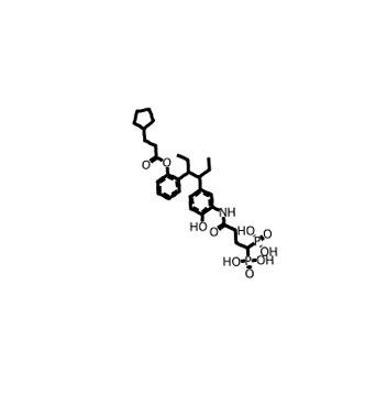 CCC(c1ccc(O)c(NC(=O)CCC(P(=O)(O)O)P(=O)(O)O)c1)C(CC)c1ccccc1OC(=O)CCC1CCCC1